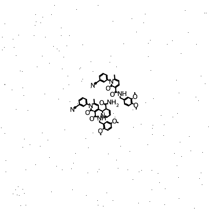 COc1ccc(CNC(=O)c2ccc(C)n(-c3cccc(C#N)c3)c2=O)cc1OC.COc1ccc(OC)c(CNC(=O)c2c(C3N=CC=CC3C(N)=O)cc(C)n(-c3cccc(C#N)c3)c2=O)c1